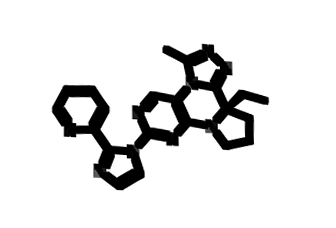 CC[C@@]12CCCN1c1nc(-n3ccnc3-c3ccccn3)ncc1-n1c(C)nnc12